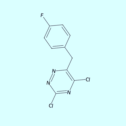 Fc1ccc(Cc2nnc(Cl)nc2Cl)cc1